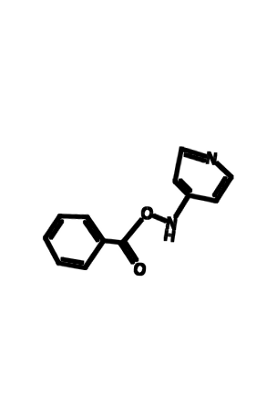 O=C(ONc1ccncc1)c1ccccc1